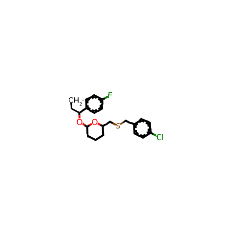 [CH2]CC(OC1CCCC(CSCc2ccc(Cl)cc2)O1)c1ccc(F)cc1